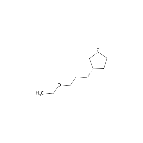 CCOCCC[C@H]1CCNC1